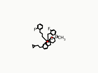 COC1CCC2(CC1)Cc1ccc(CCC3CC3)cc1C21N=C(CCCc2ccccc2F)N(Cc2ccccc2F)C1=O